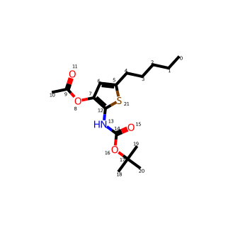 CCCCCc1cc(OC(C)=O)c(NC(=O)OC(C)(C)C)s1